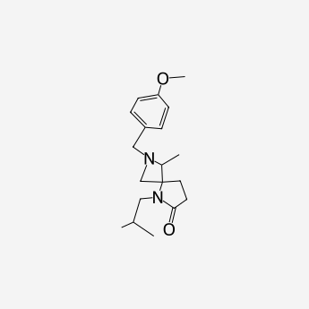 COc1ccc(CN2CC3(CCC(=O)N3CC(C)C)C2C)cc1